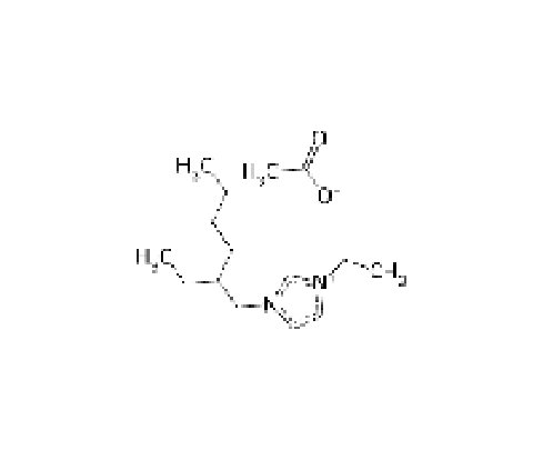 CC(=O)[O-].CCCCC(CC)Cn1cc[n+](CC)c1